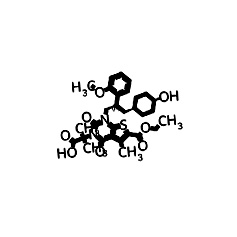 CCOC(=O)c1sc2c(c1C)c(=O)n(C(C)(C)C(=O)O)c(=O)n2C[C@H](C[C@H]1CC[C@@H](O)CC1)c1ccccc1OC